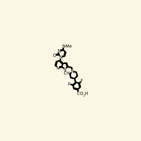 CNc1ccn(-c2ccnc3c2cc(CN2CCC(c4c(F)cc(C(=O)O)cc4F)CC2)n3C)c(=O)n1